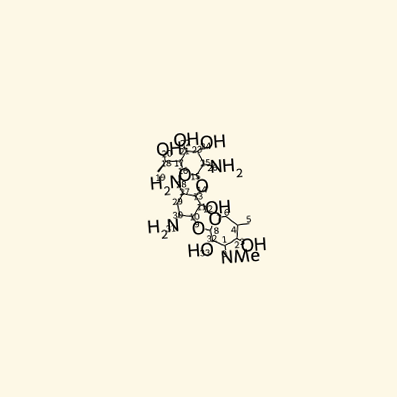 CNC1C(O)C(C)COC(OC2C(O)[C@H](O[C@H]3OC([C@@H](C)O)[C@@H](O)C(O)C3N)C(N)C[C@H]2N)[C@@H]1O